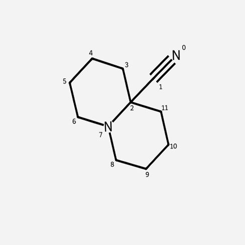 N#CC12CCCCN1CCCC2